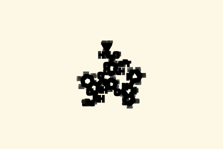 CCC[C@H](NC(=O)[C@@H]1C[C@@H](Oc2nc(-c3ccccn3)nc3ccsc23)CN1C(=O)[C@@H](NC(=O)NC(C)(C)C)C1CCCCC1)C(=O)C(=O)NC1CC1